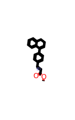 COC(=O)/C=C/c1ccc(C2=CCCc3ccccc32)cc1